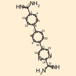 N=C(N)c1ccc(-c2ccc(-c3cnc(C(=N)N)nc3)cc2)cc1